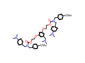 COc1ccc(CN(Cc2ccc(N(C)C)cc2)C(=O)OCCOc2cc(CN(C)C)cc(OCCOC(=O)N(Cc3ccc(OC)cc3)Cc3ccc(N(C)C)cc3)c2)cc1